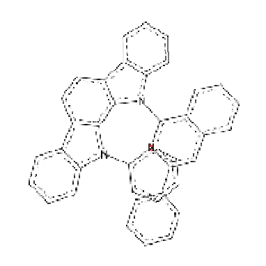 c1ccc(-c2cc3ccccc3c(-n3c4ccccc4c4ccc5c6ccccc6n(-c6ccccc6)c5c43)n2)cc1